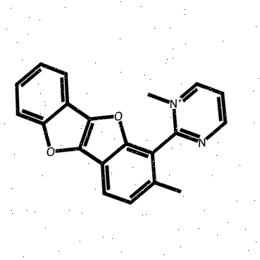 Cc1ccc2c(oc3c4ccccc4oc23)c1-c1nccc[n+]1C